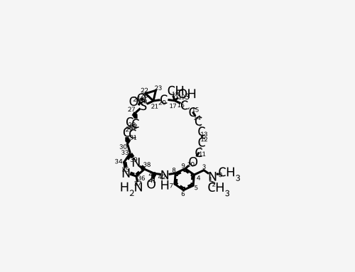 CN(C)Cc1cccc2c1OCCCCCCC(C)(O)CC1(CC1)S(=O)(=O)c1ccc(cc1)-c1cnc(N)c(n1)C(=O)N2